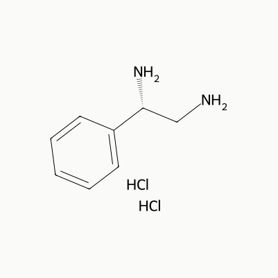 Cl.Cl.NC[C@@H](N)c1ccccc1